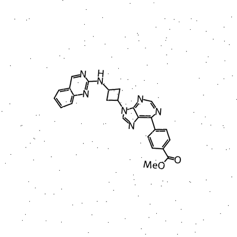 COC(=O)c1ccc(-c2ncnc3c2ncn3C2CC(Nc3ncc4ccccc4n3)C2)cc1